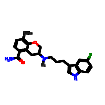 CCN(CCCc1c[nH]c2ccc(F)cc12)C1COc2c(OC)ccc(C(N)=O)c2C1